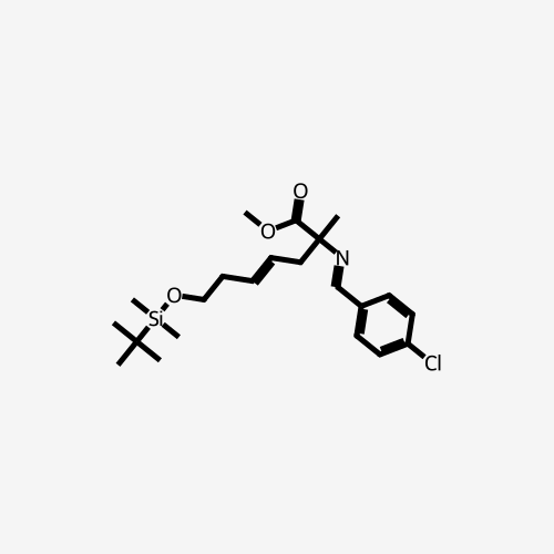 COC(=O)C(C)(CC=CCCO[Si](C)(C)C(C)(C)C)N=Cc1ccc(Cl)cc1